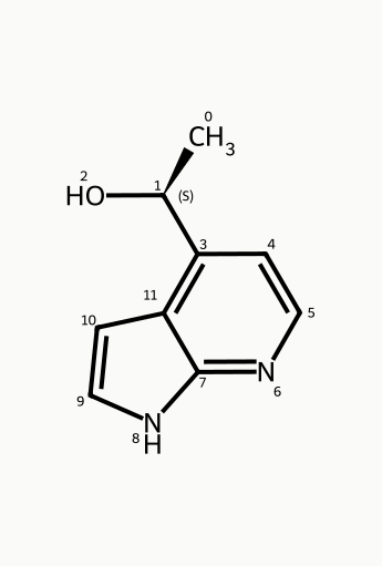 C[C@H](O)c1ccnc2[nH]ccc12